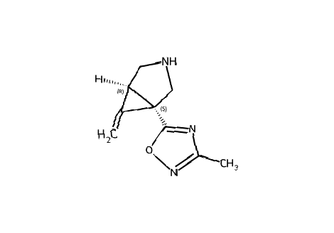 C=C1[C@H]2CNC[C@@]12c1nc(C)no1